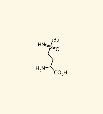 CCC(C)S(=N)(=O)CCC(N)C(=O)O